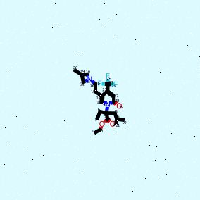 CCOC(=O)C(CC)(CC(C)C)n1cc(CCN2CC(C)C2)c(C(F)(F)F)cc1=O